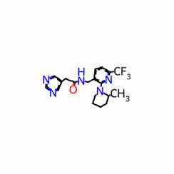 CC1CCCCN1c1nc(C(F)(F)F)ccc1CNC(=O)Cc1cncnc1